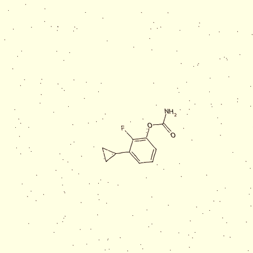 NC(=O)Oc1cccc(C2CC2)c1F